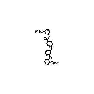 COc1cccc(CC(=O)N2CCN(Cc3cccc(Oc4ccccc4OC)c3)CC2)c1